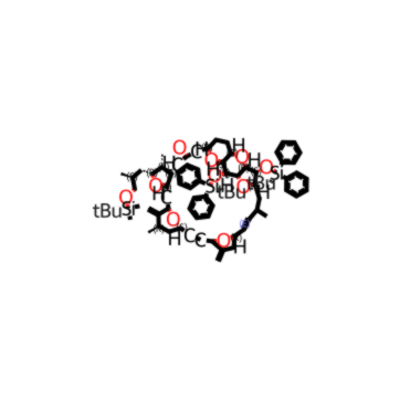 C=C1C[C@@H]2/C=C/C(C)C[C@H]3OC4[C@@H](O[C@H]5CC[C@H](CC(=O)C[C@@H]6[C@@H](C)[C@@H](C[C@H](C)CO[Si](C)(C)C(C)(C)C)O[C@H]6CC6O[C@@H](CCC1O2)C[C@@H](C)C6=C)O[C@@H]5[C@@H]4O[Si](c1ccccc1)(c1ccccc1)C(C)(C)C)[C@H]3O[Si](c1ccccc1)(c1ccccc1)C(C)(C)C